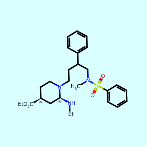 CCN[C@H]1C[C@@H](C(=O)OCC)CCN1CCC(CN(C)S(=O)(=O)c1ccccc1)c1ccccc1